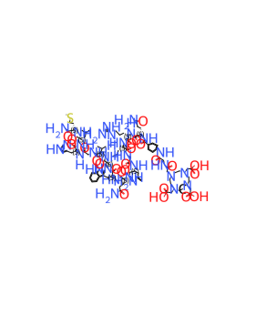 C=C(N)C[C@H](NC(=O)CNC(=O)[C@H](CCC)NC(=O)[C@H](CCCNC(=N)N)NC(=O)[C@H](CCC(N)=O)NC(=O)c1ccc(NC(=O)CNC(=O)CN2CCN(CC(=O)O)CCN(CC(=O)O)CCN(CC(=O)O)CC2)cc1)C(=O)N[C@@H](CCC(N)=O)C(=O)N[C@@H](Cc1c[nH]c2ccccc12)C(=O)N[C@@H](C)C(=O)N[C@H](C(=O)NCC(=O)N[C@@H](Cc1c[nH]cn1)C(=O)N[C@@H](CC(C)C)C(=O)N[C@@H](CCSC)C(N)=O)C(C)C